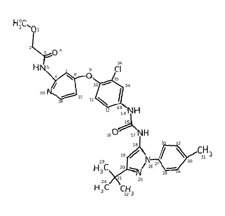 COCC(=O)Nc1cc(Oc2ccc(NC(=O)Nc3cc(C(C)(C)C)nn3-c3ccc(C)cc3)cc2Cl)ccn1